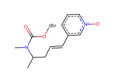 CC(CC=Cc1ccc[n+]([O-])c1)N(C)C(=O)OC(C)(C)C